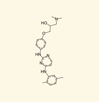 Cc1ccc(C)c(Nc2ccnc(Nc3ccc(OCC(O)CN(C)C)cc3)n2)c1